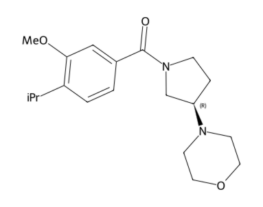 COc1cc(C(=O)N2CC[C@@H](N3CCOCC3)C2)ccc1C(C)C